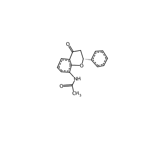 CC(=O)Nc1cccc2c1O[C@@H](c1ccccc1)CC2=O